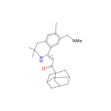 CNCc1cc2c(cc1C)CC(C)(C)N/C2=C\C(=O)C12CC3CC(CC(C3)C1)C2